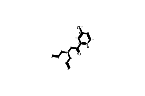 C=CCN(CC=C)CC(=O)c1cc(Cl)ccn1